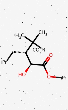 CC(C)C[C@@H]([C@H](O)C(=O)OC(C)C)C(C)(C)C(=O)O